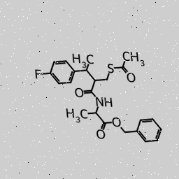 CC(=O)SCC(C(=O)NC(C)C(=O)OCc1ccccc1)C(C)c1ccc(F)cc1